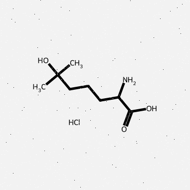 CC(C)(O)CCCC(N)C(=O)O.Cl